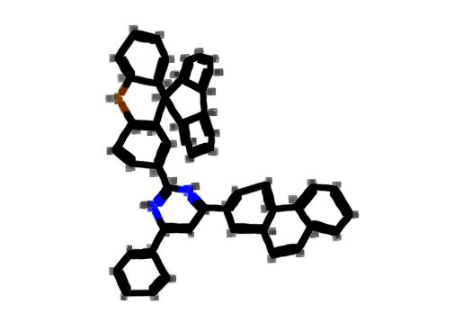 c1ccc(-c2cc(-c3ccc4c(ccc5ccccc54)c3)nc(-c3ccc4c(c3)C3(c5ccccc5S4)c4ccccc4-c4ccccc43)n2)cc1